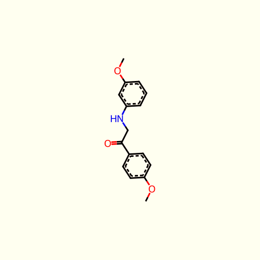 COc1ccc(C(=O)CNc2cccc(OC)c2)cc1